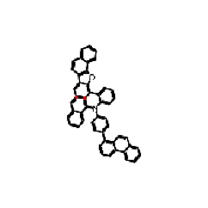 c1ccc(N(c2ccc(-c3cccc4c3ccc3ccccc34)cc2)c2cccc3ccccc23)c(-c2cccc3c2oc2c4ccccc4ccc32)c1